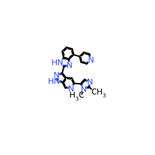 Cc1ncc(-c2cc3c(-c4nc5c(-c6ccncc6)cccc5[nH]4)n[nH]c3cn2)n1C